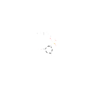 CCCCCCCCOS(=O)(=O)c1cc(Br)cc(Br)c1